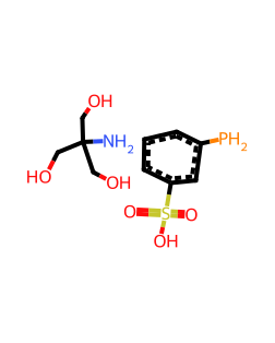 NC(CO)(CO)CO.O=S(=O)(O)c1cccc(P)c1